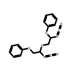 O=C=NC(COc1ccccc1)OCC(N=C=O)Oc1ccccc1